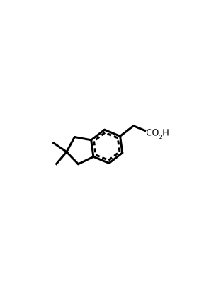 CC1(C)Cc2ccc(CC(=O)O)cc2C1